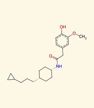 COc1cc(CC(=O)N[C@H]2CC[C@@H](CCCC3CC3)CC2)ccc1O